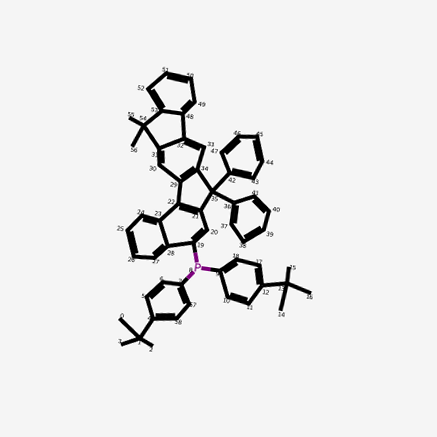 CC(C)(C)c1ccc(P(c2ccc(C(C)(C)C)cc2)c2cc3c(c4ccccc24)-c2cc4c(cc2C3(c2ccccc2)c2ccccc2)-c2ccccc2C4(C)C)cc1